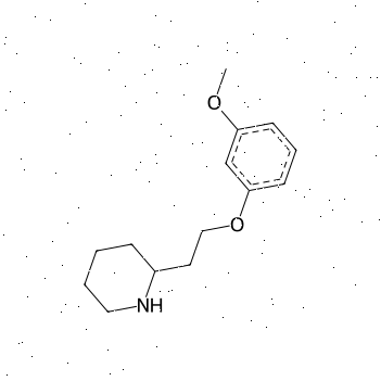 COc1cccc(OCCC2CCCCN2)c1